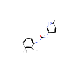 Cc1ccc(NC(=O)Nc2cccc(C)c2C)cn1